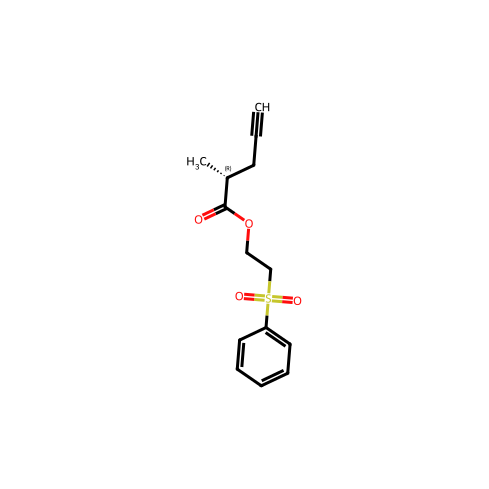 C#CC[C@@H](C)C(=O)OCCS(=O)(=O)c1ccccc1